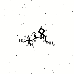 CC(C)(C)OC(=O)NC1(CCN)CCC1